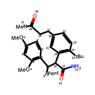 CCCCCC(c1ccc(OC)cc1OC)C(C(N)=O)c1cc(CCC(=O)NC)ccc1C(C)(C)C